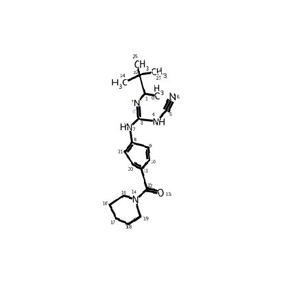 CC(/N=C(\NC#N)Nc1ccc(C(=O)N2CCCCC2)cc1)C(C)(C)C